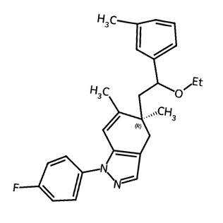 CCOC(C[C@@]1(C)Cc2cnn(-c3ccc(F)cc3)c2C=C1C)c1cccc(C)c1